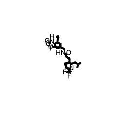 C#Cc1cc(CNC(=O)C=Cc2ccc(C(F)(F)F)nc2CC(C)C)cc(F)c1NS(C)(=O)=O